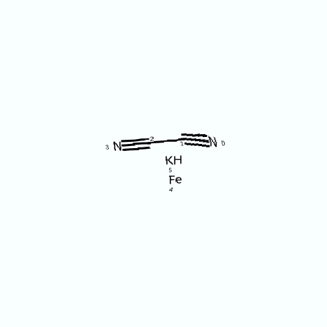 N#CC#N.[Fe].[KH]